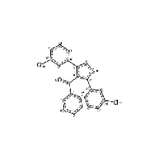 O=C(c1cccnc1)c1c(-c2cccc(Cl)c2)csc1-c1cccc(Cl)c1